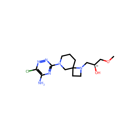 COC[C@@H](O)CN1CCC12CCCN(c1nnc(Cl)c(N)n1)C2